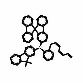 C=C/C=C\C=C/Cc1ccccc1N(c1ccc2c(c1)C(C)(C)c1ccccc1-2)c1ccc2c(c1)C1(c3ccccc3-c3ccccc31)c1ccccc1-2